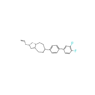 C=CCC1CC2CCC(c3ccc(-c4ccc(F)c(F)c4)cc3)CCC2C1